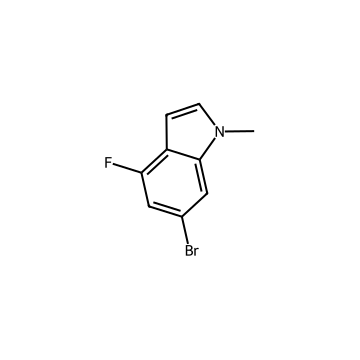 Cn1ccc2c(F)cc(Br)cc21